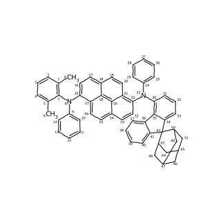 Cc1cccc(C)c1N(c1ccccc1)c1ccc2ccc3c(N(c4ccccc4)c4cccc5c4-c4ccccc4C54C5CC6CC(C5)CC4C6)ccc4ccc1c2c43